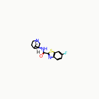 O=C(N[C@@H]1CN2CCC1CC2)c1nc2ccc(F)cc2s1